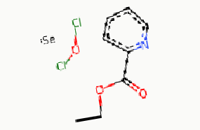 CCOC(=O)c1ccccn1.ClOCl.[Se]